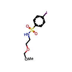 COCOCCNS(=O)(=O)c1ccc(I)cc1